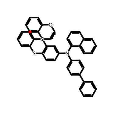 c1ccc(-c2ccc(N(c3ccc4c(c3)[Si]3(c5ccccc5Oc5ccccc53)c3ccccc3S4)c3cccc4ccccc34)cc2)cc1